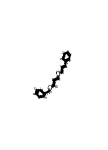 c1ccc(CCCOCCCOCc2ccccc2)cc1